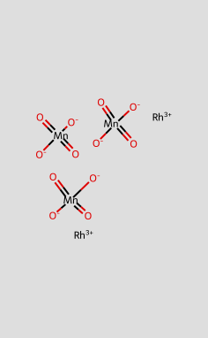 [O]=[Mn](=[O])([O-])[O-].[O]=[Mn](=[O])([O-])[O-].[O]=[Mn](=[O])([O-])[O-].[Rh+3].[Rh+3]